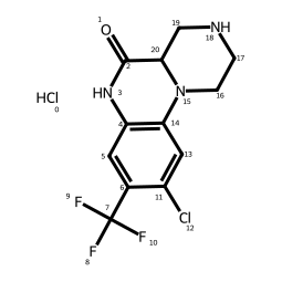 Cl.O=C1Nc2cc(C(F)(F)F)c(Cl)cc2N2CCNCC12